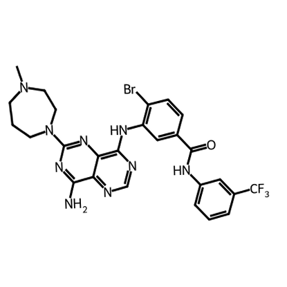 CN1CCCN(c2nc(N)c3ncnc(Nc4cc(C(=O)Nc5cccc(C(F)(F)F)c5)ccc4Br)c3n2)CC1